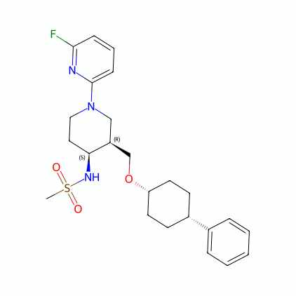 CS(=O)(=O)N[C@H]1CCN(c2cccc(F)n2)C[C@H]1CO[C@H]1CC[C@@H](c2ccccc2)CC1